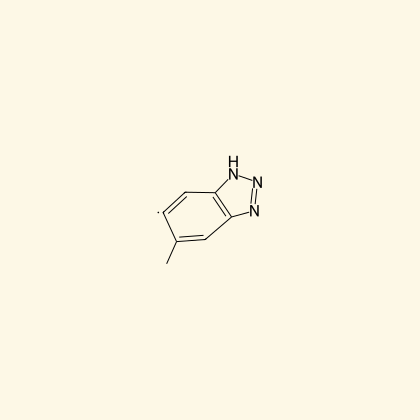 Cc1[c]cc2[nH]nnc2c1